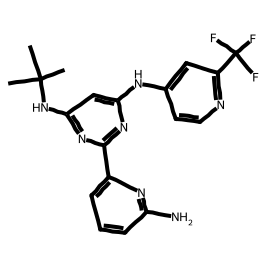 CC(C)(C)Nc1cc(Nc2ccnc(C(F)(F)F)c2)nc(-c2cccc(N)n2)n1